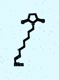 CCCCCCC=C[CH]CCCCCN1C(=O)CCC1=O